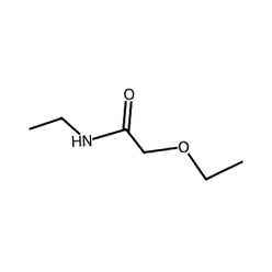 CCNC(=O)COCC